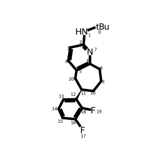 CC(C)(C)Nc1ccc2c(n1)CCC[C@@H](c1cccc(F)c1F)C2